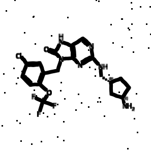 N[C@@H]1CC[C@@H](CNc2ncc3[nH]c(=O)n(Cc4cc(Cl)ccc4OC(F)(F)F)c3n2)C1